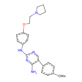 COc1ccc(-c2cnc(Nc3ccc(OCCN4CCCC4)cc3)nc2N)cc1